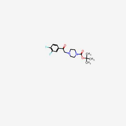 CC(C)(C)OC(=O)N1CCN(CC(=O)c2ccc(F)c(F)c2)CC1